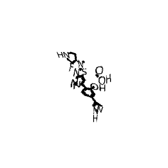 CN(c1nc2nnc(-c3ccc(-c4cn[nH]c4)cc3O)cc2s1)[C@@H]1CCNC[C@H]1F.O=CO